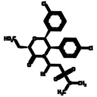 CCC(CS(=O)(=O)N(C)C)N1C(=O)[C@H](CC(=O)O)O[C@H](c2cccc(Cl)c2)[C@H]1c1ccc(Cl)cc1